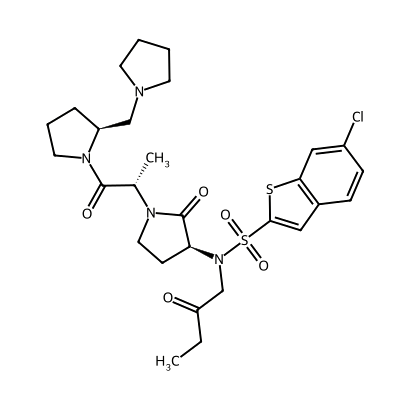 CCC(=O)CN([C@H]1CCN([C@@H](C)C(=O)N2CCC[C@H]2CN2CCCC2)C1=O)S(=O)(=O)c1cc2ccc(Cl)cc2s1